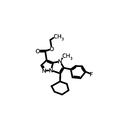 CCOC(=O)c1cnn2c(C3CCCCC3)c(-c3ccc(F)cc3)n(C)c12